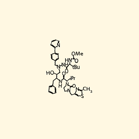 COC(=O)NC(C(=O)NN(Cc1ccc(-c2ccccn2)cc1)CC(O)C(Cc1ccccc1)NC(=O)C(C(C)C)N1CCN(Cc2csc(C)n2)C1=O)C(C)(C)C